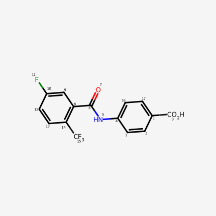 O=C(O)c1ccc(NC(=O)c2cc(F)ccc2C(F)(F)F)cc1